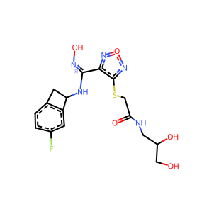 O=C(CSc1nonc1/C(=N\O)NC1Cc2ccc(F)cc21)NCC(O)CO